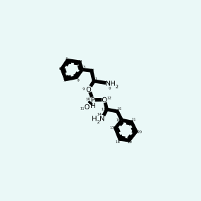 NC(Cc1ccccc1)O[PH](=O)OC(N)Cc1ccccc1